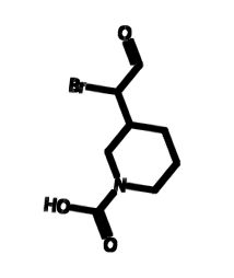 O=CC(Br)C1CCCN(C(=O)O)C1